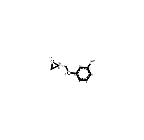 Fc1cccc(OC[C@@H]2CO2)c1